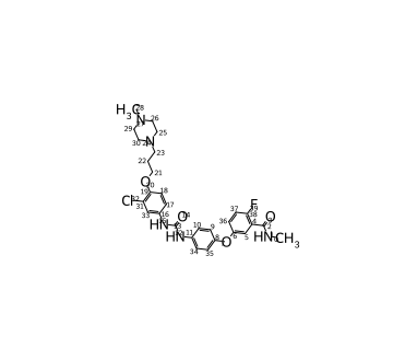 CNC(=O)c1cc(Oc2ccc(NC(=O)Nc3ccc(OCCCN4CCN(C)CC4)c(Cl)c3)cc2)ccc1F